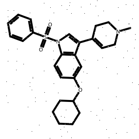 CN1CC=C(c2cn(S(=O)(=O)c3ccccc3)c3ccc(OC4CCCCC4)cc23)CC1